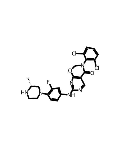 C[C@@H]1CN(c2ccc(Nc3ncc4c(n3)OCN(c3c(Cl)cccc3Cl)C4=O)cc2F)CCN1